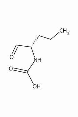 CCC[C@@H](C=O)NC(=O)O